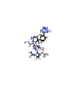 CCCCc1cn(-c2c(CCC)ccn2C(C)C)c(=O)n1CC1(c2cccc(-c3nnn[nH]3)c2)C=CN=CC1